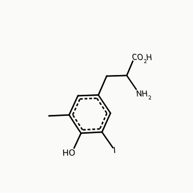 Cc1cc(CC(N)C(=O)O)cc(I)c1O